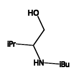 CCC(C)NC(CO)C(C)C